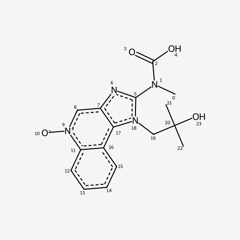 CN(C(=O)O)c1nc2c[n+]([O-])c3ccccc3c2n1CC(C)(C)O